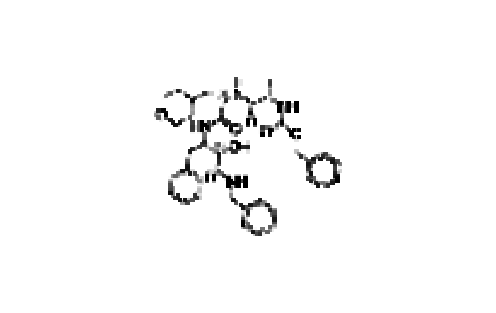 CC(NC(=O)OCc1ccccc1)C(=O)N[C@@H](CC1CCOCC1)C(=O)NC(Cc1ccccc1)[C@H](O)C(=O)NCc1ccccc1